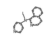 IN(c1ccncc1)c1nccc2ccccc12